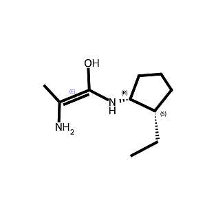 CC[C@H]1CCC[C@H]1N/C(O)=C(/C)N